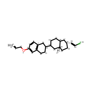 C=CCOc1ccc2c(c1)CCC(C1CCC3C[C@H](C=CF)CC[C@@H]3C1)C2